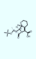 C[C@@H](O[Si](C)(C)C)[C@H]1C(=O)N2C(C(=O)O)=C3CCCS[C@H]3[C@H]12